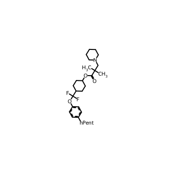 CCCCCc1ccc(OC(F)(F)C2CCC(OC(=O)C(C)(C)CN3CCCCC3)CC2)cc1